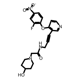 O=C(CN1CCC(O)CC1)NCC#Cc1cnccc1Oc1ccc([N+](=O)[O-])cc1F